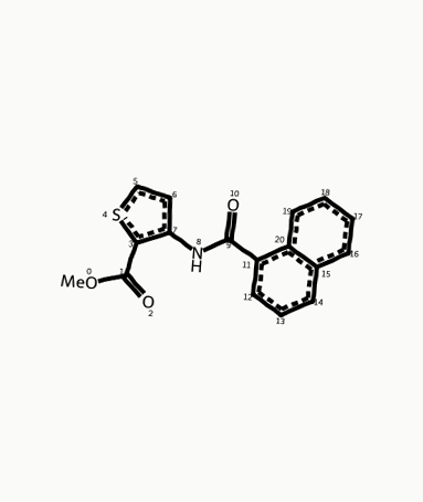 COC(=O)c1sccc1NC(=O)c1cccc2ccccc12